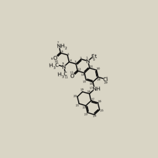 CCn1cc(C(CC(N)=O)N(C)C)c(=O)c2cc(NC3CCCc4ccccc43)c(Cl)cc21